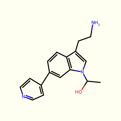 CC(O)n1cc(CCN)c2ccc(-c3ccncc3)cc21